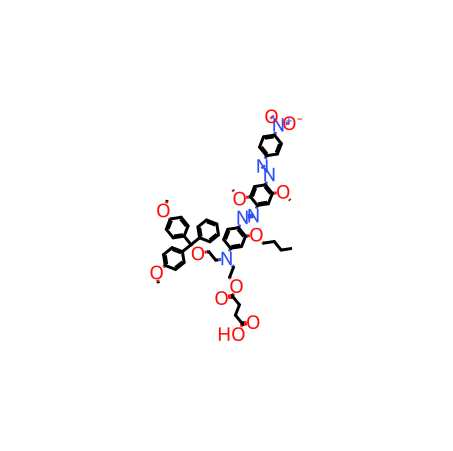 CCCCOc1cc(N(CCOC(=O)CCC(=O)O)CCOC(c2ccccc2)(c2ccc(OC)cc2)c2ccc(OC)cc2)ccc1N=Nc1cc(OC)c(N=Nc2ccc([N+](=O)[O-])cc2)cc1OC